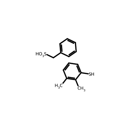 Cc1cccc(S)c1C.O=S(=O)(O)Cc1ccccc1